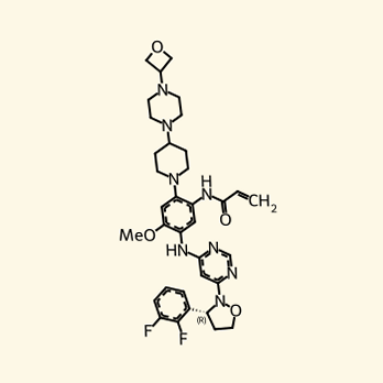 C=CC(=O)Nc1cc(Nc2cc(N3OCC[C@@H]3c3cccc(F)c3F)ncn2)c(OC)cc1N1CCC(N2CCN(C3COC3)CC2)CC1